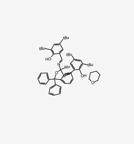 C1CCOCC1.CC(C)(C)c1cc(C=N[C]([Mn])(N=Cc2cc(C(C)(C)C)cc(C(C)(C)C)c2O)OC(c2ccccc2)(c2ccccc2)c2ccccc2)c(O)c(C(C)(C)C)c1